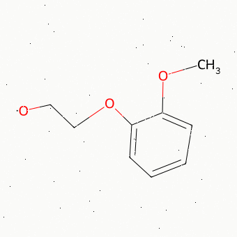 COc1ccccc1OCC[O]